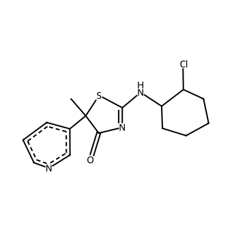 CC1(c2cccnc2)SC(NC2CCCCC2Cl)=NC1=O